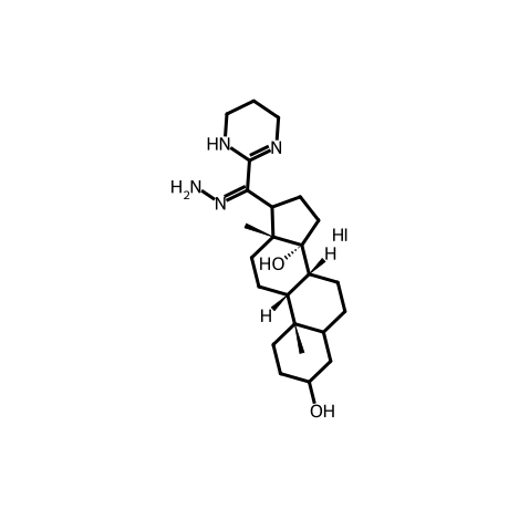 C[C@]12CCC(O)CC1CC[C@@H]1[C@H]2CC[C@]2(C)C(C(=NN)C3=NCCCN3)CC[C@@]12O.I